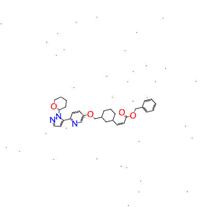 O=C(/C=C\C1CCCC(COc2ccc(-c3ccnn3C3CCCCO3)nc2)C1)OCc1ccccc1